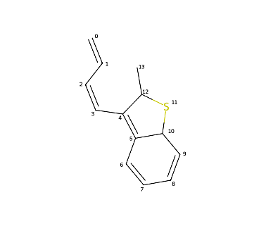 C=C/C=C\C1=C2C=CC=CC2SC1C